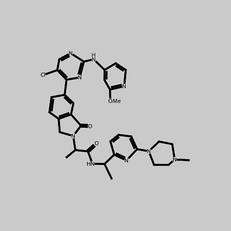 COc1cc(Nc2ncc(Cl)c(-c3ccc4c(c3)C(=O)N(C(C)C(=O)NC(C)c3cccc(N5CCN(C)CC5)n3)C4)n2)ccn1